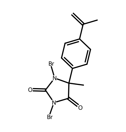 C=C(C)c1ccc(C2(C)C(=O)N(Br)C(=O)N2Br)cc1